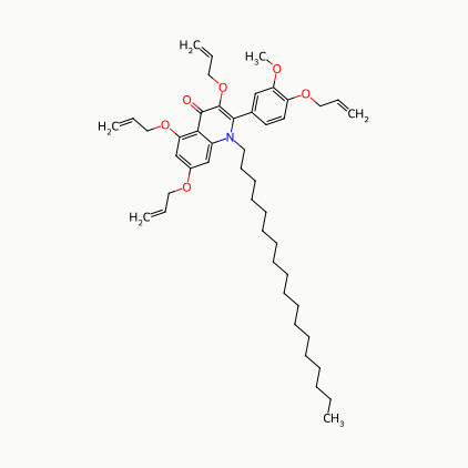 C=CCOc1cc(OCC=C)c2c(=O)c(OCC=C)c(-c3ccc(OCC=C)c(OC)c3)n(CCCCCCCCCCCCCCCCCC)c2c1